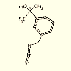 C[C@](O)(c1cccc(CN=[N+]=[N-])n1)C(F)(F)F